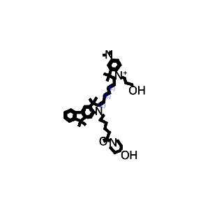 CN(C)c1ccc2c(c1)C(C)(C)C(/C=C/C=C/C=C1/N(CCCCCC(=O)N3CCC(O)CC3)c3cc4c(cc3C1(C)C)-c1ccccc1C4(C)C)=[N+]2CCCO